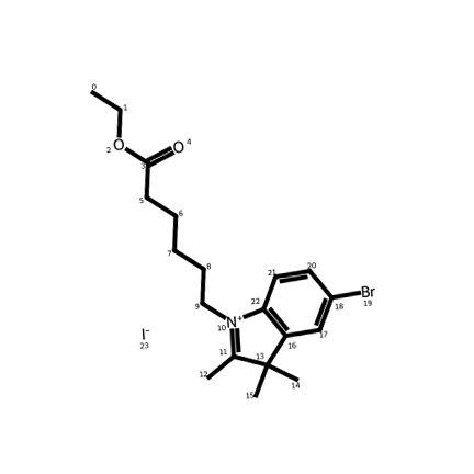 CCOC(=O)CCCCC[N+]1=C(C)C(C)(C)c2cc(Br)ccc21.[I-]